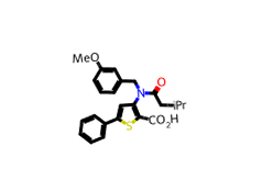 COc1cccc(CN(C(=O)CC(C)C)c2cc(-c3ccccc3)sc2C(=O)O)c1